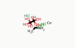 C[CH2][AlH2].Cl.Cl.Cl.Cl.OC(O)(O)C(O)(O)O.[Co]